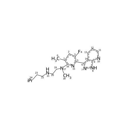 Cc1cc(F)c(-c2n[nH]c3ncccc23)nc1N(C)CCNCCC(C)C